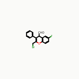 O=CC1C(c2ccccc2)=C(CBr)Oc2ccc(F)cc21